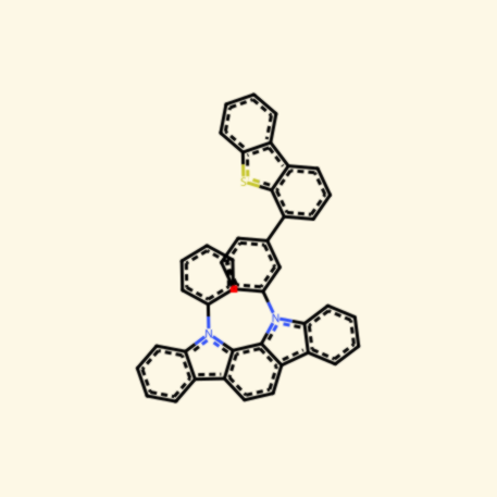 c1ccc(-n2c3ccccc3c3ccc4c5ccccc5n(-c5cccc(-c6cccc7c6sc6ccccc67)c5)c4c32)cc1